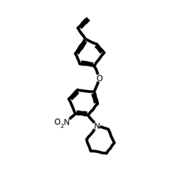 C=Cc1ccc(Oc2ccc([N+](=O)[O-])c(N3CCCCC3)c2)cc1